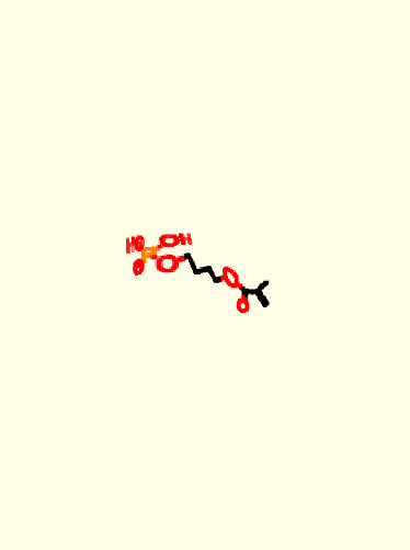 C=C(C)C(=O)OCCCCOP(=O)(O)O